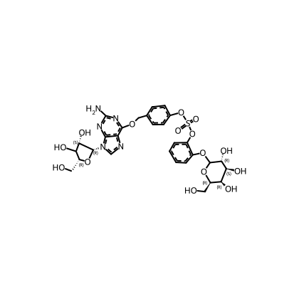 Nc1nc(OCc2ccc(OS(=O)(=O)Oc3ccccc3OC3O[C@H](CO)[C@H](O)[C@H](O)[C@H]3O)cc2)c2ncn([C@@H]3O[C@H](CO)C(O)[C@@H]3O)c2n1